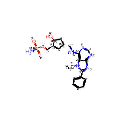 Cn1c(-c2ccccc2)nc2ncnc(NC[C@@H]3C[C@@H](COS(N)(=O)=O)[C@@H](O)C3)c21